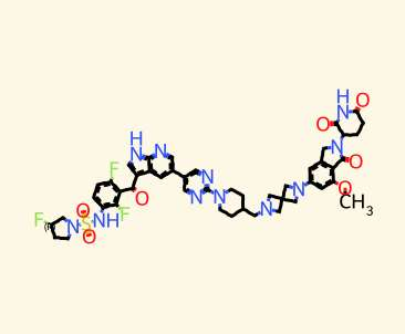 COc1cc(N2CC3(CN(CC4CCN(c5ncc(-c6cnc7[nH]cc(C(=O)c8c(F)ccc(NS(=O)(=O)N9CC[C@@H](F)C9)c8F)c7c6)cn5)CC4)C3)C2)cc2c1C(=O)N(C1CCC(=O)NC1=O)C2